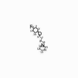 Fc1ccc(OCCCCN2CC[CH]CC2)cc1